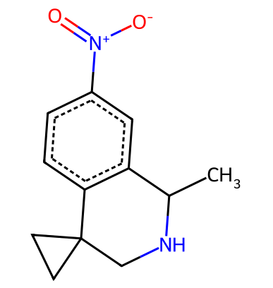 CC1NCC2(CC2)c2ccc([N+](=O)[O-])cc21